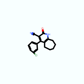 N#Cc1c(-c2cccc(Cl)c2)c2c([nH]c1=O)CCCCC2